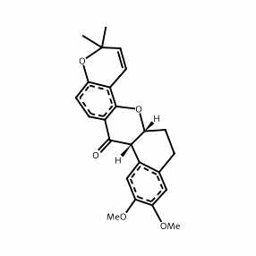 COc1cc2c(cc1OC)[C@@H]1C(=O)c3ccc4c(c3O[C@@H]1CC2)C=CC(C)(C)O4